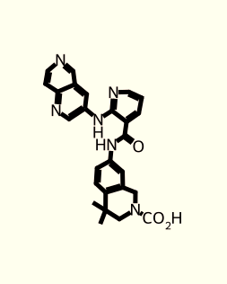 CC1(C)CN(C(=O)O)Cc2cc(NC(=O)c3cccnc3Nc3cnc4ccncc4c3)ccc21